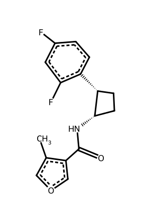 Cc1cocc1C(=O)N[C@H]1CC[C@H]1c1ccc(F)cc1F